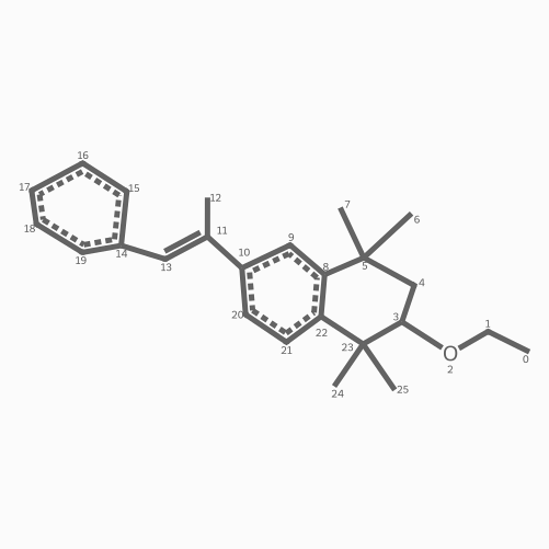 CCOC1CC(C)(C)c2cc(C(C)=Cc3ccccc3)ccc2C1(C)C